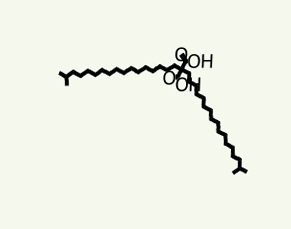 CC(C)CCCCCCCCCCCCCCCC(CCCCCCCCCCCCCCCC(C)C)(C(=O)O)C(=O)O